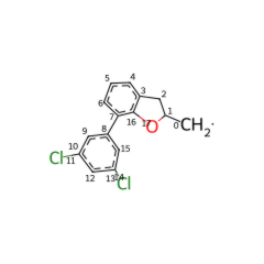 [CH2]C1Cc2cccc(-c3cc(Cl)cc(Cl)c3)c2O1